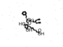 C#CCC(CC#C)COC(=O)O[C@@H](CCc1ccccc1)CC[C@@H]1[C@@H](CC=CCCCC(=O)O)[C@@H](O)C[C@H]1O